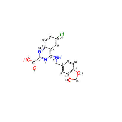 O=C(O)c1nc(NCc2ccc3c(c2)OCO3)c2cc(Cl)ccc2n1